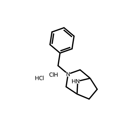 Cl.Cl.c1ccc(CN2CC3CCC(C2)N3)cc1